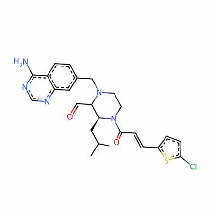 CC(C)C[C@H]1C(C=O)N(Cc2ccc3c(N)ncnc3c2)CCN1C(=O)C=Cc1ccc(Cl)s1